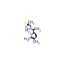 C=C(NCC(C)(C)F)c1ccc(C)c(C)n1